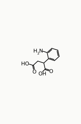 Nc1ccccc1C(CC(=O)O)C(=O)O